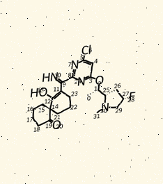 C[C@H](Oc1cc(Cl)nc(C(=N)C2=C(O)[C@]3(CCCCC3=O)CCC2)n1)[C@@H]1C[C@H](F)CN1C